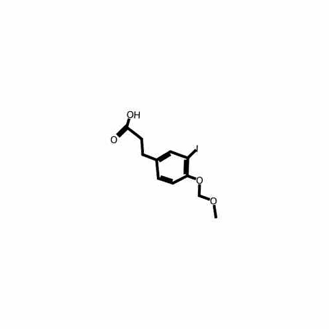 COCOc1ccc(CCC(=O)O)cc1I